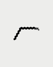 CCCCCCCC/C=C\CCCCCCC[CH2][AlH2]